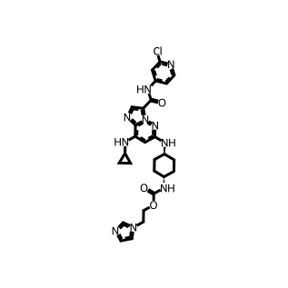 O=C(N[C@H]1CC[C@H](Nc2cc(NC3CC3)c3ncc(C(=O)Nc4ccnc(Cl)c4)n3n2)CC1)OCCn1ccnc1